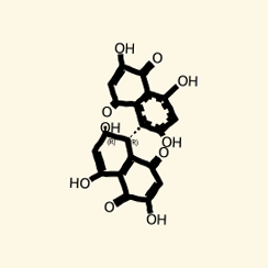 O=C1C=C(O)C(=O)C2=C1[C@@H](c1c(O)cc(O)c3c1C(=O)C=C(O)C3=O)[C@@H](O)C=C2O